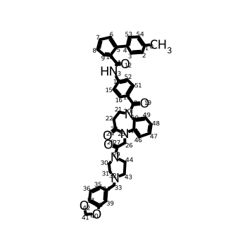 Cc1ccc(-c2ccccc2C(=O)Nc2ccc(C(=O)N3CCC(=O)N(CC(=O)N4CCN(Cc5ccc6c(c5)OCO6)CC4)c4ccccc43)cc2)cc1